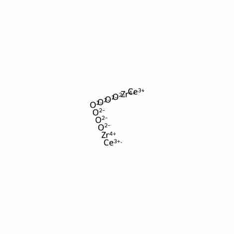 [Ce+3].[Ce+3].[O-2].[O-2].[O-2].[O-2].[O-2].[O-2].[O-2].[Zr+4].[Zr+4]